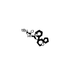 CC(C)(C)OC(=O)NCC[C@@]1(c2ccccn2)CCOC2(CCCC2)C1